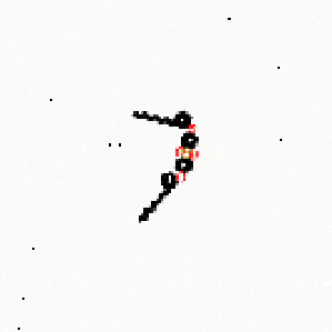 CCCCCCCCc1cccc(Oc2ccc(S(=O)(=O)c3ccc(Oc4cccc(CCCCCCCC)c4)cc3)cc2)c1